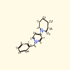 c1ccc(C[n+]2ccc(N3CCCCCC3)cc2)cc1